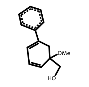 COC1(CO)C=CC=C(c2ccccc2)C1